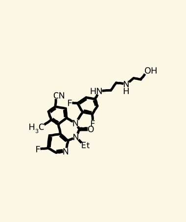 CCN1C(=O)N(c2c(F)cc(NCCNCCO)cc2F)c2cc(C#N)cc(C)c2-c2cc(F)cnc21